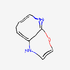 [c]1cnc2c(c1)NC=CO2